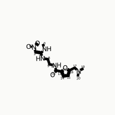 CN/C(=C\[N+](=O)[O-])NCCNC(=O)c1ccc(CN(C)C)o1